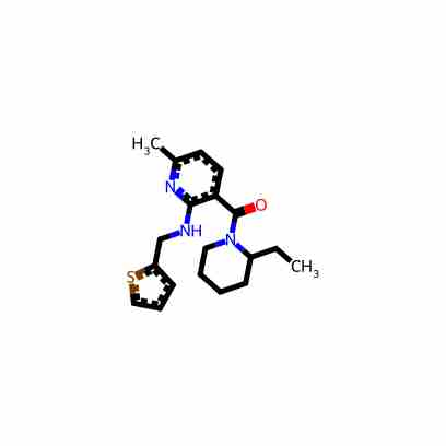 CCC1CCCCN1C(=O)c1ccc(C)nc1NCc1cccs1